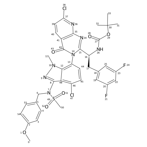 COc1ccc(CN(c2nn(C)c3c(-n4c([C@H](Cc5cc(F)cc(F)c5)NC(=O)OC(C)(C)C)nc5nc(Cl)ccc5c4=O)ccc(Cl)c23)S(C)(=O)=O)cc1